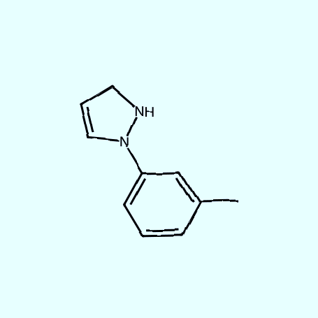 Cc1cccc(N2C=CCN2)c1